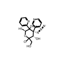 COC1(c2ccccn2)[C@H](S)OC(Cl)(CO)[C@@H](O)[C@]1(N=[N+]=[N-])c1cccnc1